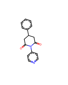 O=C1CC(c2ccccc2)CC(=O)N1c1ccncc1